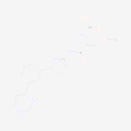 COCC(NC(=O)O)C(=O)Nc1nc(-c2cccc(-c3ccncn3)c2)cs1